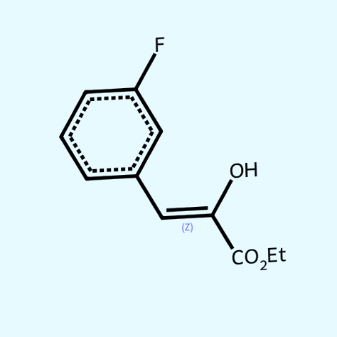 CCOC(=O)/C(O)=C/c1cccc(F)c1